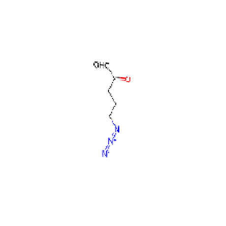 [N-]=[N+]=NCCCC(=O)C=O